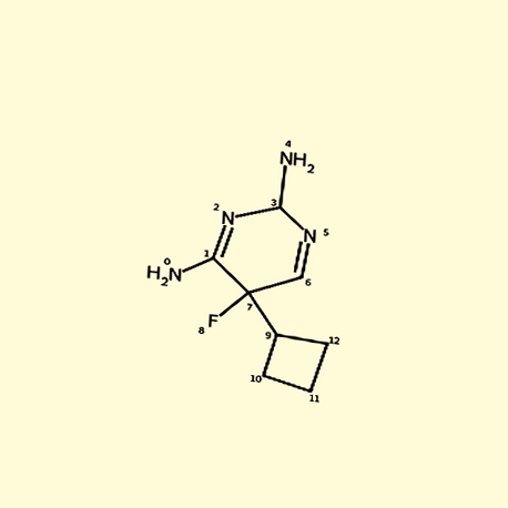 NC1=NC(N)N=CC1(F)C1CCC1